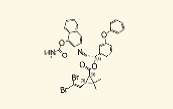 CC1(C)[C@H](C(=O)O[C@H](C#N)c2cccc(Oc3ccccc3)c2)[C@@H]1C=C(Br)Br.CNC(=O)Oc1cccc2ccccc12